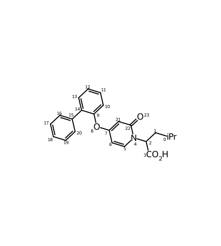 CC(C)CC(C(=O)O)n1ccc(Oc2ccccc2-c2ccccc2)cc1=O